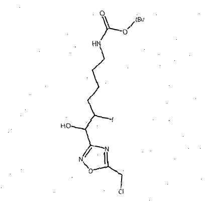 CC(C)(C)OC(=O)NCCCCC(I)C(O)c1noc(CCl)n1